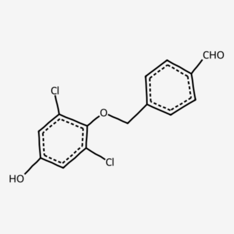 O=Cc1ccc(COc2c(Cl)cc(O)cc2Cl)cc1